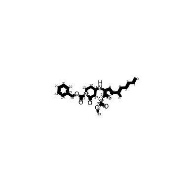 C=CC=CC=C(C)c1cc(NC2CCN(C(=O)OCc3ccccc3)C(=O)C2)c(OC(=O)OC)s1